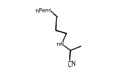 CCCCCCCCNC(C)C#N